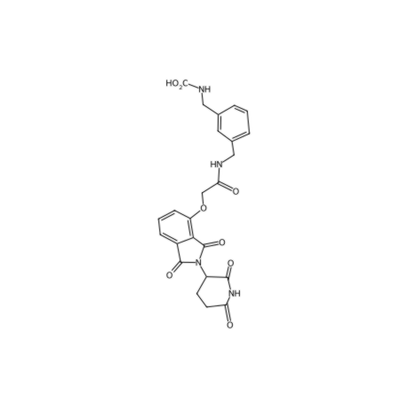 O=C(O)NCc1cccc(CNC(=O)COc2cccc3c2C(=O)N(C2CCC(=O)NC2=O)C3=O)c1